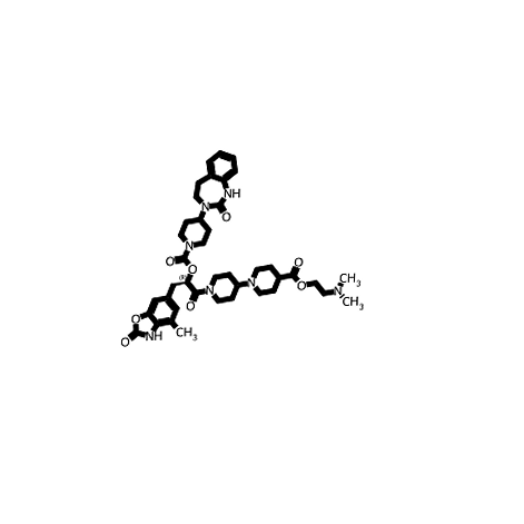 Cc1cc(C[C@@H](OC(=O)N2CCC(N3CCc4ccccc4NC3=O)CC2)C(=O)N2CCC(N3CCC(C(=O)OCCN(C)C)CC3)CC2)cc2oc(=O)[nH]c12